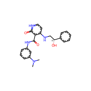 CN(C)c1cccc(NC(=O)c2c(NC[C@@H](O)c3ccccc3)cc[nH]c2=O)c1